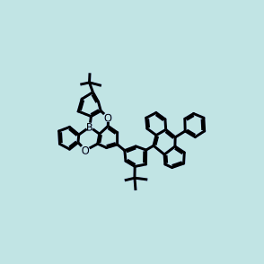 CC(C)(C)c1cc(-c2cc3c4c(c2)Oc2cc(C(C)(C)C)ccc2B4c2ccccc2O3)cc(-c2c3ccccc3c(-c3ccccc3)c3ccccc23)c1